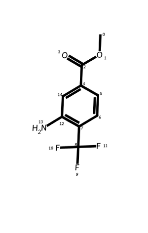 COC(=O)c1ccc(C(F)(F)F)c(N)c1